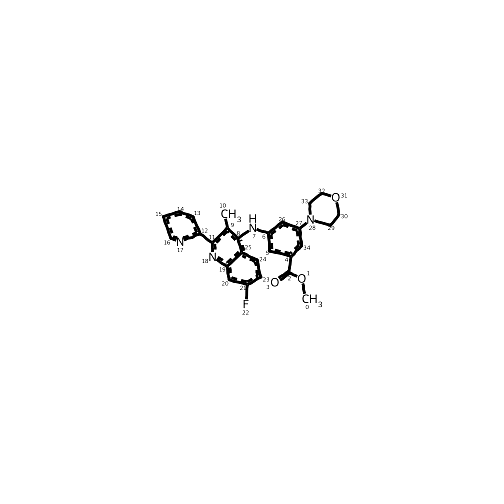 COC(=O)c1cc(Nc2c(C)c(-c3ccccn3)nc3cc(F)ccc23)cc(N2CCOCC2)c1